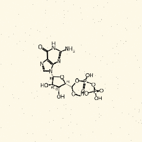 COC(OP(=O)(O)OP(=O)(O)O)[C@H]1O[C@@H](n2cnc3c(=O)[nH]c(N)nc32)[C@H](O)[C@@H]1O